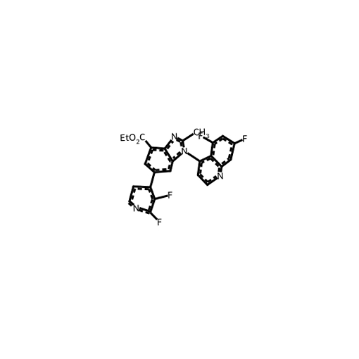 CCOC(=O)c1cc(-c2ccnc(F)c2F)cc2c1nc(C)n2-c1ccnc2cc(F)cc(F)c12